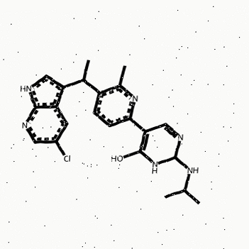 Cc1nc(C2=C(O)NC(NC(C)C)N=C2)ccc1C(C)c1c[nH]c2ncc(Cl)cc12